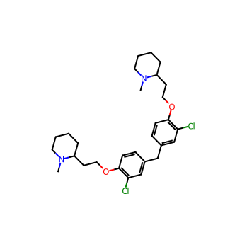 CN1CCCCC1CCOc1ccc(Cc2ccc(OCCC3CCCCN3C)c(Cl)c2)cc1Cl